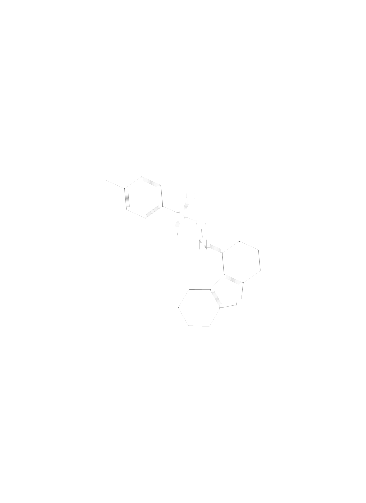 Cc1ccc(S(=O)(=O)O/N=C2\CCCc3oc4c(c32)CCCC4)cc1